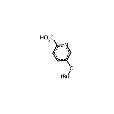 CC(C)(C)Oc1ccc(C(=O)O)nc1